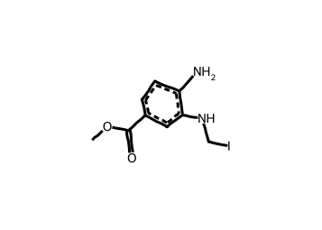 COC(=O)c1ccc(N)c(NCI)c1